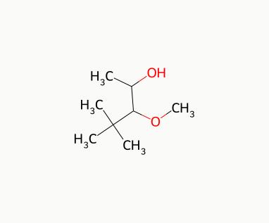 COC(C(C)O)C(C)(C)C